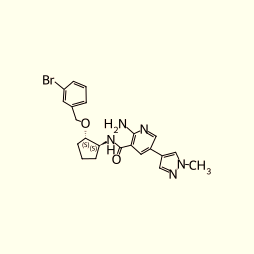 Cn1cc(-c2cnc(N)c(C(=O)N[C@H]3CCC[C@@H]3OCc3cccc(Br)c3)c2)cn1